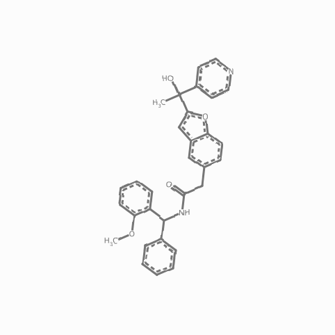 COc1ccccc1C(NC(=O)Cc1ccc2oc(C(C)(O)c3ccncc3)cc2c1)c1ccccc1